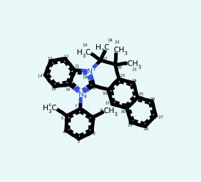 Cc1cccc(C)c1-n1c2[n+](c3ccccc31)C(C)(C)C(C)(C)c1cc3ccccc3cc1-2